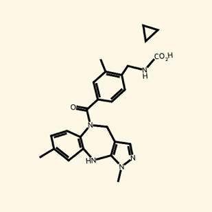 C1CC1.Cc1ccc2c(c1)Nc1c(cnn1C)CN2C(=O)c1ccc(CNC(=O)O)c(C)c1